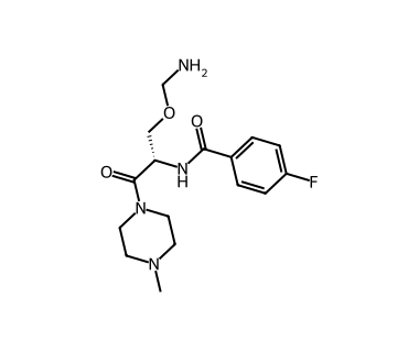 CN1CCN(C(=O)[C@H](COCN)NC(=O)c2ccc(F)cc2)CC1